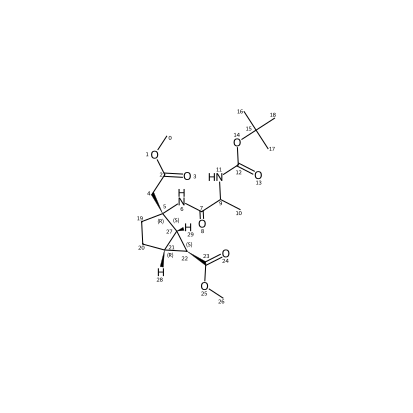 COC(=O)C[C@]1(NC(=O)C(C)NC(=O)OC(C)(C)C)CC[C@H]2[C@H](C(=O)OC)[C@H]21